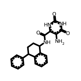 Nc1c(C(=O)NC2CCC(c3ccccc3)c3ccccc32)[nH]c(=O)[nH]c1=O